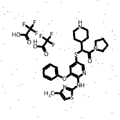 Cc1csc(Nc2ncc(SC(C(=O)N3CCCC3)C3CCNCC3)cc2Oc2ccccc2)n1.O=C(O)C(F)(F)F.O=C(O)C(F)(F)F